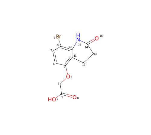 O=C(O)COc1ccc(Br)c2c1CCC(=O)N2